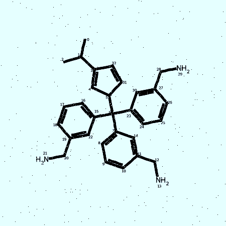 CC(C)C1=C[C](C(c2cccc(CN)c2)(c2cccc(CN)c2)c2cccc(CN)c2)C=C1